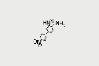 Nc1n[nH]c2cc(-c3ccc([N+](=O)[O-])cc3)ccc12